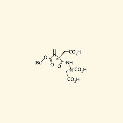 CC(C)(C)OC(=O)N[C@@H](CC(=O)O)C(=O)N[C@@H](CC(=O)O)C(=O)O